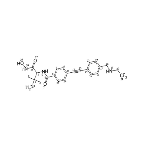 CC(C)(N)C(NC(=O)c1ccc(C#Cc2ccc(CNCC(F)(F)F)cc2)cc1)C(=O)NO